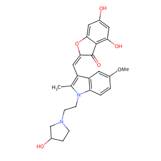 COc1ccc2c(c1)c(C=C1Oc3cc(O)cc(O)c3C1=O)c(C)n2CCN1CCC(O)C1